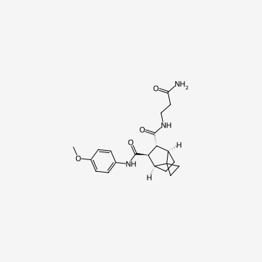 COc1ccc(NC(=O)[C@H]2[C@H](C(=O)NCCC(N)=O)[C@H]3CC[C@@H]2C32CC2)cc1